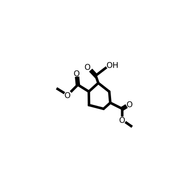 COC(=O)C1CCC(C(=O)OC)C(C(=O)O)C1